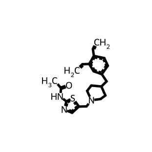 C=Cc1ccc(CC2CCN(Cc3cnc(NC(C)=O)s3)CC2)cc1C=C